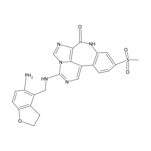 CS(=O)(=O)c1ccc2c(c1)NC(=O)c1ncn3c(NCc4c(P)ccc5c4CCO5)ncc-2c13